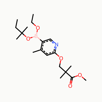 CCOB(OC(C)(C)CC)c1cnc(OCC(C)(C)C(=O)OC)cc1C